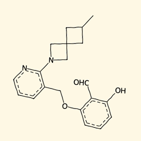 CC1CC2(C1)CN(c1ncccc1COc1cccc(O)c1C=O)C2